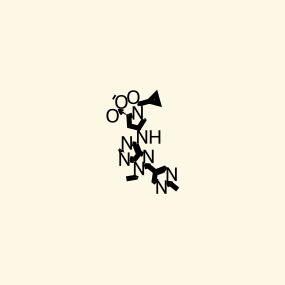 CCn1c(-c2cnc(C)nc2)nc2c(N[C@H]3C[C@H](C(=O)OC)N(C(=O)C4CC4)C3)ncnc21